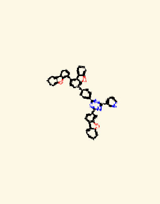 c1cncc(-c2nc(-c3ccc(-c4ccc(-c5cccc6c5oc5ccccc56)c5c4oc4ccccc45)cc3)nc(-c3ccc4c(c3)oc3ccccc34)n2)c1